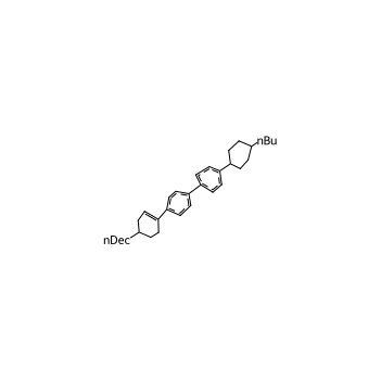 CCCCCCCCCCC1CC=C(c2ccc(-c3ccc(C4CCC(CCCC)CC4)cc3)cc2)CC1